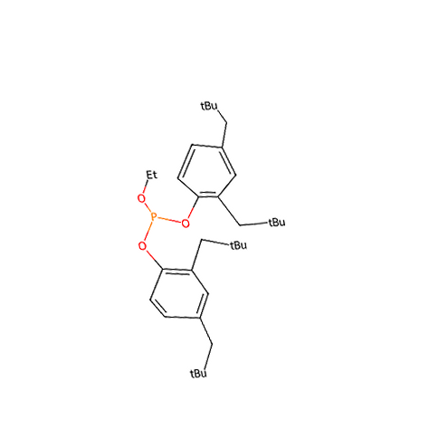 CCOP(Oc1ccc(CC(C)(C)C)cc1CC(C)(C)C)Oc1ccc(CC(C)(C)C)cc1CC(C)(C)C